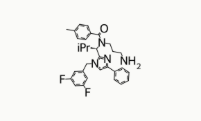 Cc1ccc(C(=O)N(CCCN)[C@@H](c2nc(-c3ccccc3)cn2Cc2cc(F)cc(F)c2)C(C)C)cc1